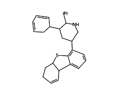 CC(C)C1NCC(c2cccc3c2SC2CCC=CC32)CC1C1C=CC=CC1